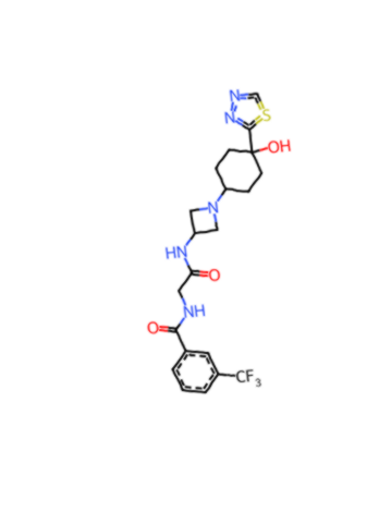 O=C(CNC(=O)c1cccc(C(F)(F)F)c1)NC1CN(C2CCC(O)(c3nncs3)CC2)C1